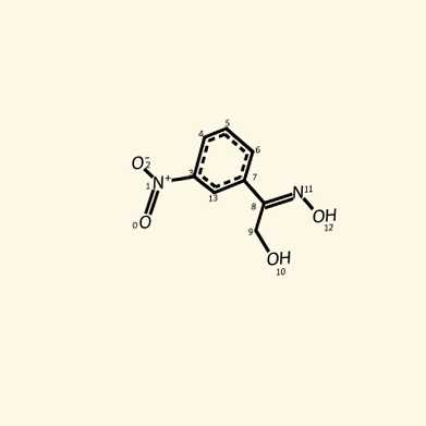 O=[N+]([O-])c1cccc(C(CO)=NO)c1